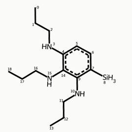 CCCNc1ccc([SiH3])c(NCCC)c1NCCC